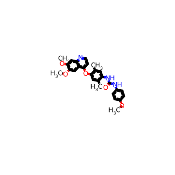 COc1ccc(NC(=O)Nc2cc(C)c(Oc3ccnc4cc(OC)c(OC)cc34)cc2C)cc1